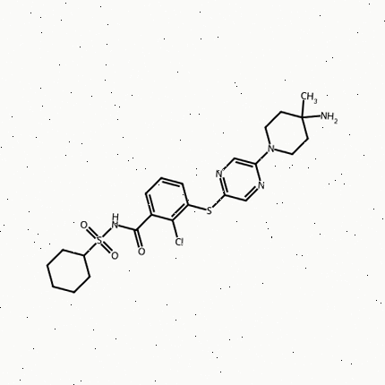 CC1(N)CCN(c2cnc(Sc3cccc(C(=O)NS(=O)(=O)C4CCCCC4)c3Cl)cn2)CC1